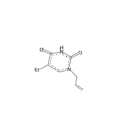 C=CCn1cc(CC)c(=O)[nH]c1=O